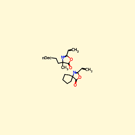 C=CC1=NC(C)(CCCCCCCCCCCC)C(=O)O1.C=CC1=NC2(CCCCC2)C(=O)O1